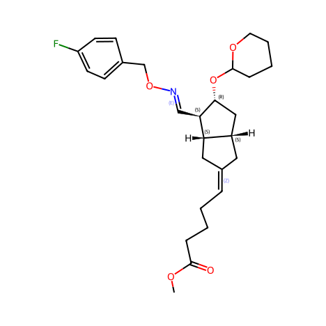 COC(=O)CCC/C=C1/C[C@H]2C[C@@H](OC3CCCCO3)[C@H](/C=N/OCc3ccc(F)cc3)[C@H]2C1